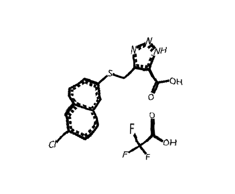 O=C(O)C(F)(F)F.O=C(O)c1[nH]nnc1CSc1ccc2cc(Cl)ccc2c1